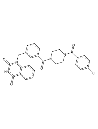 O=C(c1ccc(Cl)cc1)N1CCN(C(=O)c2cccc(Cn3c(=O)[nH]c(=O)c4ccccc43)c2)CC1